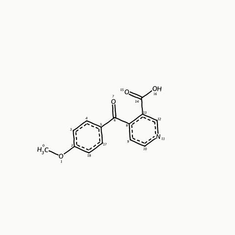 COc1ccc(C(=O)c2ccncc2C(=O)O)cc1